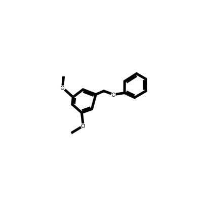 COc1cc(COc2ccccc2)cc(OC)c1